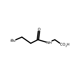 CCC(C)CCC(=O)NCC(=O)O